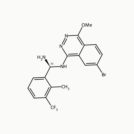 COc1nnc(N[C@H](N)c2cccc(C(F)(F)F)c2C)c2cc(Br)ccc12